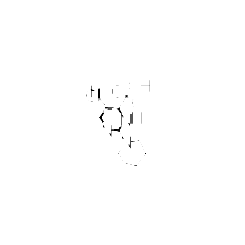 CC(C)(C)c1nc(N2CCCCC2)ncc1Cl